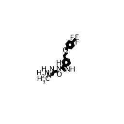 CN(N)/C=C(\N)C(=O)Nc1c[nH]c2ccc(CCOc3ccc(C(F)(F)F)cc3)cc12